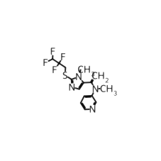 C=C(c1cnc(SCC(F)(F)C(F)F)n1C)N(C)c1cccnc1